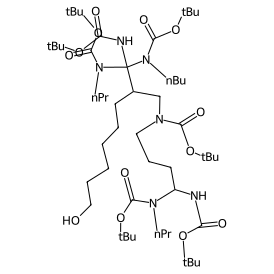 CCCCN(C(=O)OC(C)(C)C)C(NC(=O)OC(C)(C)C)(C(CCCCCCO)CN(CCCC(NC(=O)OC(C)(C)C)N(CCC)C(=O)OC(C)(C)C)C(=O)OC(C)(C)C)N(CCC)C(=O)OC(C)(C)C